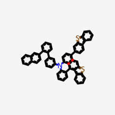 c1cc(-c2ccccc2-c2ccc3ccccc3c2)cc(N(c2ccc(-c3ccc4c(c3)sc3ccccc34)cc2)c2ccccc2-c2cccc3sc4ccccc4c23)c1